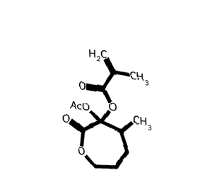 C=C(C)C(=O)OC1(OC(C)=O)C(=O)OCCCC1C